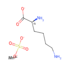 NCCCC[C@H](N)C(=O)[O-].O=S(=O)([O-])[O-].[Mn+3]